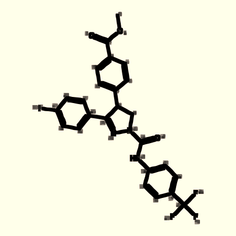 COC(=O)c1ccc(C2CN(C(=O)Nc3ccc(C(F)(F)F)cc3)N=C2c2ccc(F)cc2)cc1